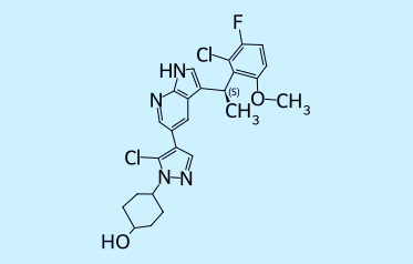 COc1ccc(F)c(Cl)c1[C@@H](C)c1c[nH]c2ncc(-c3cnn(C4CCC(O)CC4)c3Cl)cc12